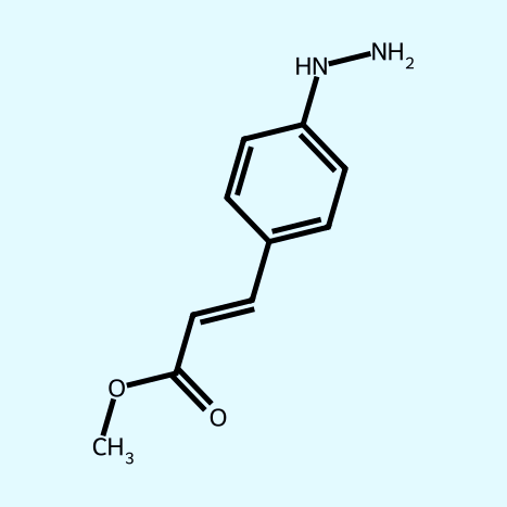 COC(=O)/C=C/c1ccc(NN)cc1